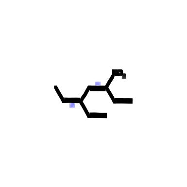 C=CC(=C/C)/C=C(\C=C)[N+](=O)[O-]